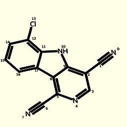 N#Cc1cnc(C#N)c2c1[nH]c1c(Cl)cccc12